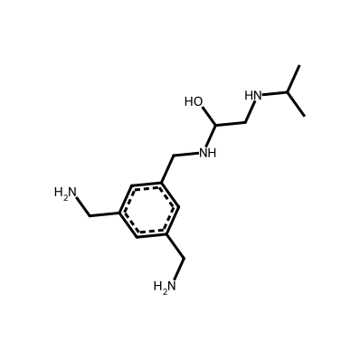 CC(C)NCC(O)NCc1cc(CN)cc(CN)c1